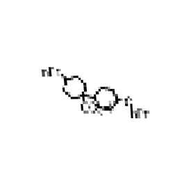 CCCOC1CCC(C2(C(=O)O)CCC(CCC)CC2)CC1